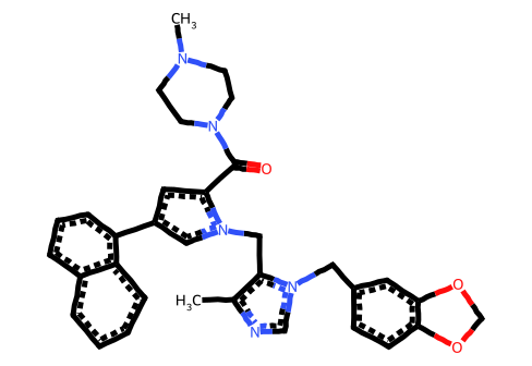 Cc1ncn(Cc2ccc3c(c2)OCO3)c1Cn1cc(-c2cccc3ccccc23)cc1C(=O)N1CCN(C)CC1